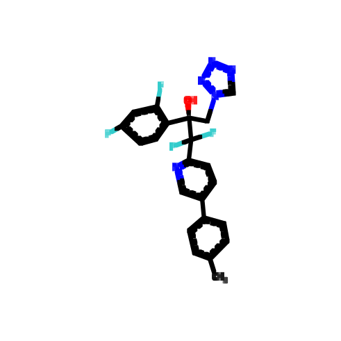 Cc1ccc(-c2ccc(C(F)(F)[C@@](O)(Cn3cnnn3)c3ccc(F)cc3F)nc2)cc1